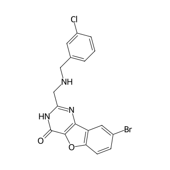 O=c1[nH]c(CNCc2cccc(Cl)c2)nc2c1oc1ccc(Br)cc12